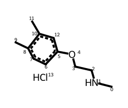 CNCCOc1ccc(C)c(C)c1.Cl